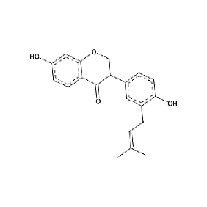 CC(C)=CCc1cc(C2COc3cc(O)ccc3C2=O)ccc1O